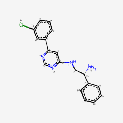 N[C@@H](CNc1cc(-c2cccc(Cl)c2)ncn1)c1ccccc1